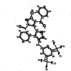 O=Cc1noc(C(=O)c2ccccc2Cl)c1-c1nnn(Cc2cc(C(F)(F)F)cc(C(F)(F)F)c2)c1-c1ccccc1